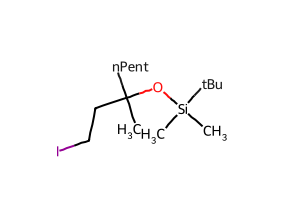 CCCCCC(C)(CCI)O[Si](C)(C)C(C)(C)C